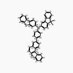 CC1(C)c2ccccc2-c2cc(N(c3ccc(-c4ccc5c(ccc6oc7ccccc7c65)c4)cc3)c3ccc4c(c3)sc3ccccc34)ccc21